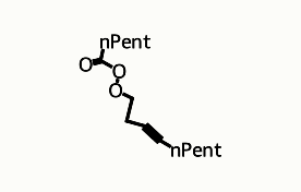 CCCCCC#CCCOOC(=O)CCCCC